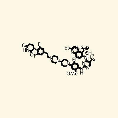 CCc1ccc2c(P(C)(C)=O)c(Nc3nc(Nc4cc(CC)c(N5CCC(N6CCN(CCc7cc(F)c([C@H]8CCC(=O)NC8=O)c(F)c7)CC6)CC5)cc4OC)ncc3Br)ccc2n1